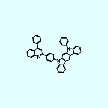 c1ccc(-c2cc(-c3ccc(-n4c5ccccc5c5cc6c7ccccc7n(-c7ccccc7)c6cc54)cc3)nc3ccccc23)cc1